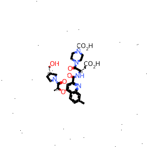 Cc1ccc2c(O[C@@H](C)C(=O)N3CC[C@H](CO)C3)cc(C(=O)N[C@@H](CC(=O)O)C(=O)N3CCN(C(=O)O)CC3)nc2c1